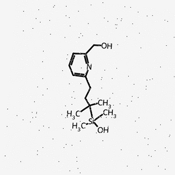 CC(C)(CCc1cccc(CO)n1)[Si](C)(C)O